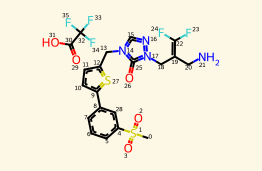 CS(=O)(=O)c1cccc(-c2ccc(Cn3cnn(CC(CN)=C(F)F)c3=O)s2)c1.O=C(O)C(F)(F)F